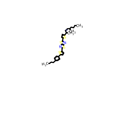 C=C(/C=C\C(=C)c1ccc(-c2nc3sc(-c4ccc(-c5ccc(CCCC)cc5)s4)nc3s2)s1)CCCC